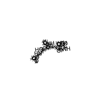 COC(=O)C1=C(C)NC(C)=C(C(=O)OCCCOc2ccc(OCC(O)CNCCOc3ccccc3OC)c3c2[nH]c2ccccc23)C1c1ccccc1Cl